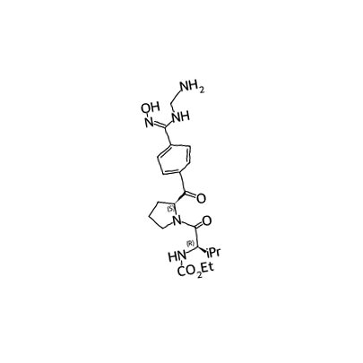 CCOC(=O)N[C@@H](C(=O)N1CCC[C@H]1C(=O)c1ccc(C(=NO)NCN)cc1)C(C)C